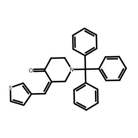 O=C1CCN(C(c2ccccc2)(c2ccccc2)c2ccccc2)CC1=Cc1ccsc1